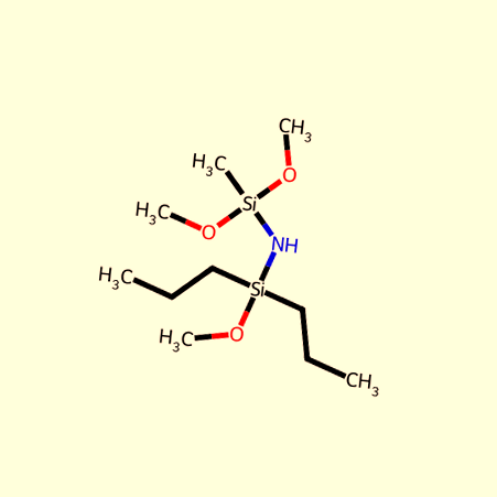 CCC[Si](CCC)(N[Si](C)(OC)OC)OC